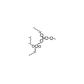 CCCCCCC(C)(C)c1ccc(N(c2ccc(C=Cc3cc(OCCC(C)CCCC(C)C)c(C=CC(C)(C)CCCCC)cc3OC)cc2)c2ccc(-c3ccc(CC)cc3)cc2)cc1